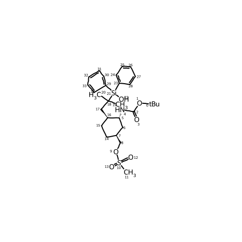 CC(C)(C)OC(=O)N[C@@H]1C[C@@H](COS(C)(=O)=O)CC[C@H]1CC(C)(C)[Si](O)(c1ccccc1)c1ccccc1